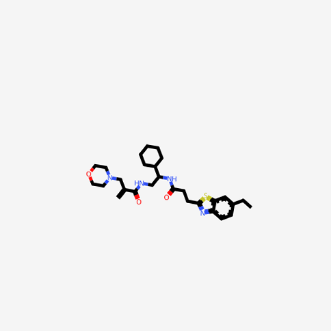 C=C(CN1CCOCC1)C(=O)NCC(NC(=O)CCc1nc2ccc(CC)cc2s1)C1CCCCC1